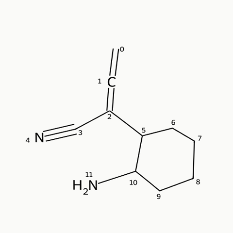 C=C=C(C#N)C1CCCCC1N